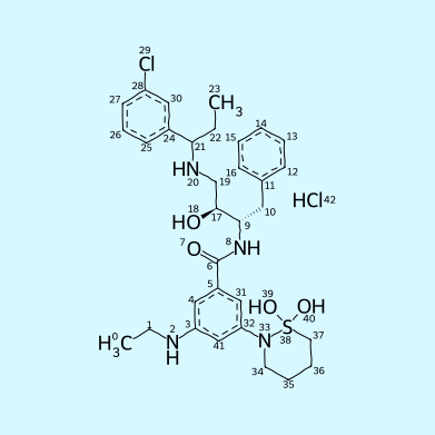 CCNc1cc(C(=O)N[C@@H](Cc2ccccc2)[C@@H](O)CNC(CC)c2cccc(Cl)c2)cc(N2CCCCS2(O)O)c1.Cl